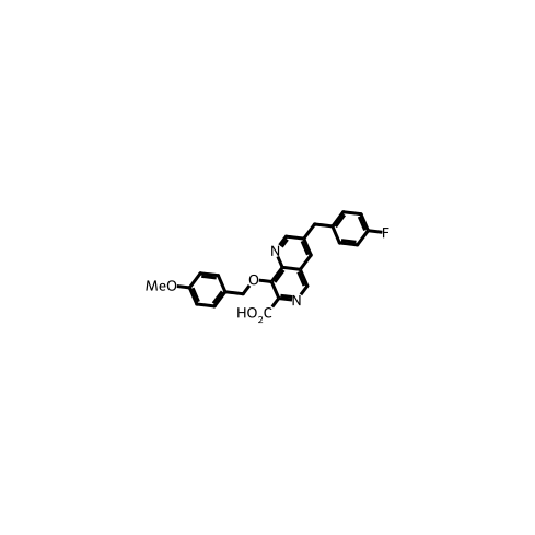 COc1ccc(COc2c(C(=O)O)ncc3cc(Cc4ccc(F)cc4)cnc23)cc1